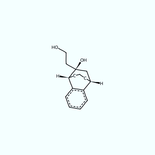 OCC[C@]1(O)C[C@H]2CCC[C@@H]1c1ccccc12